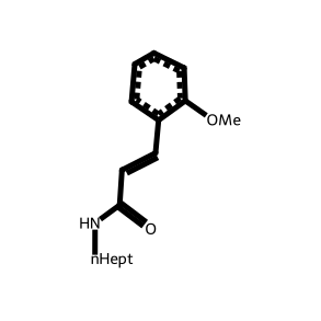 CCCCCCCNC(=O)C=Cc1ccccc1OC